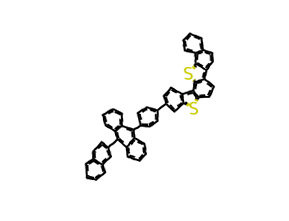 c1ccc2cc(-c3c4ccccc4c(-c4ccc(-c5ccc6c(c5)sc5ccc7c8ccc9ccccc9c8sc7c56)cc4)c4ccccc34)ccc2c1